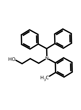 Cc1ccccc1N(CCCO)C(c1ccccc1)c1ccccc1